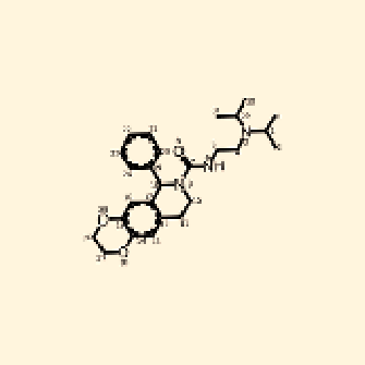 CC(C)N(CCNC(=O)N1CCc2cc3c(cc2C1c1ccccc1)OCCO3)C(C)C